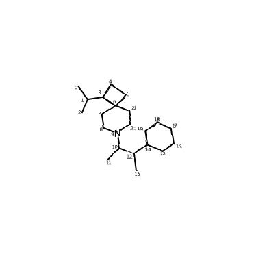 CC(C)C1CCC12CCN(C(C)C(C)C1CCCCC1)CC2